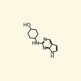 OC1CCC(Nc2ncc3cc[nH]c3n2)CC1